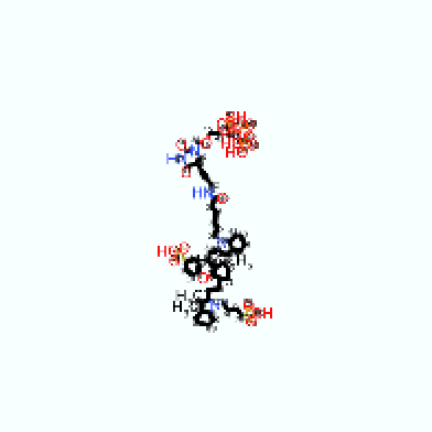 CC1(C)C(/C=C/C2=C(Oc3ccc(S(=O)(=O)O)cc3)C(=C/C=C3/N(CCCCCC(=O)NCC#Cc4cn(COCCOP(=O)(O)OP(=O)(O)OP(=O)(O)O)c(=O)[nH]c4=O)c4ccccc4C3(C)C)/CCC2)=[N+](CCCCS(=O)(=O)O)c2ccccc21